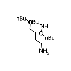 CCCCNOCCCC.CCCCOCCCCN